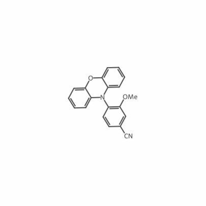 COc1cc(C#N)ccc1N1c2ccccc2Oc2ccccc21